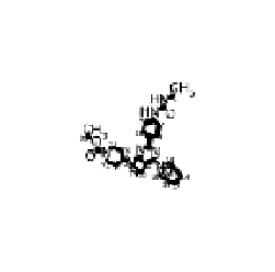 CCNC(=O)Nc1ccc(-c2nc(N3CC4CCC(C3)O4)c3cnn(C4CCN(C(=O)OCC)CC4)c3n2)cc1